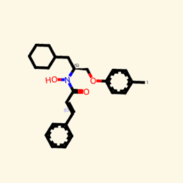 [CH]c1ccc(OC[C@H](CC2CCCCC2)N(O)C(=O)/C=C/c2ccccc2)cc1